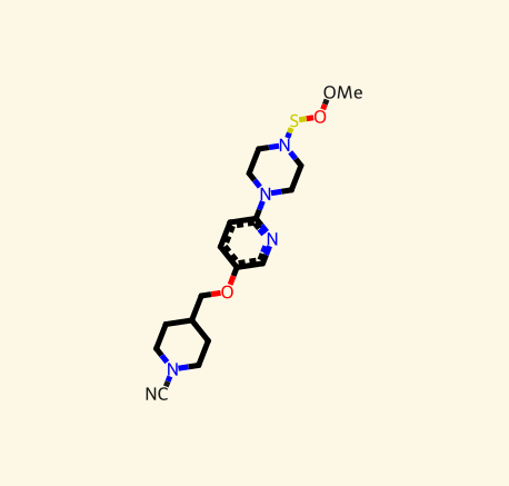 COOSN1CCN(c2ccc(OCC3CCN(C#N)CC3)cn2)CC1